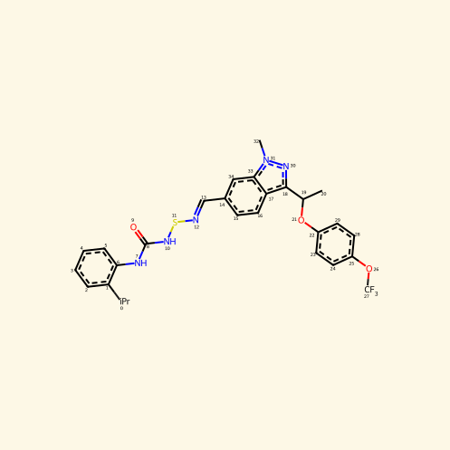 CC(C)c1ccccc1NC(=O)NS/N=C/c1ccc2c(C(C)Oc3ccc(OC(F)(F)F)cc3)nn(C)c2c1